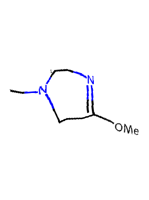 COC1=N[C]N(C)C1